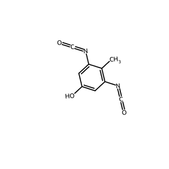 Cc1c(N=C=O)cc(O)cc1N=C=O